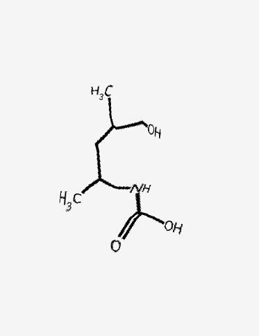 CC(O)CC(C)NC(=O)O